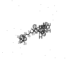 CC(C)(C)OC(=O)NS(=O)(=O)NCCC(C)(CCCCB1OC(C)(C)C(C)(C)O1)C(=O)OC(C)(C)C